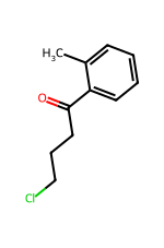 Cc1ccccc1C(=O)CCCCl